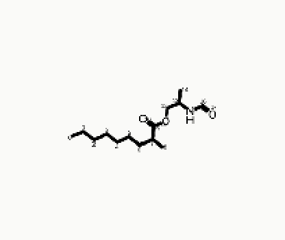 CCCCCCCC(C)C(=O)OCC(C)NC=O